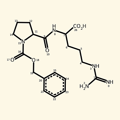 N=C(N)NCCCC(NC(=O)C1CCCN1C(=O)OCc1ccccc1)C(=O)O